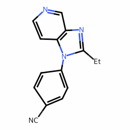 CCc1nc2cnccc2n1-c1ccc(C#N)cc1